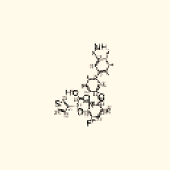 NCc1cccc(-c2cccc(Oc3nc(OC(C(=O)O)c4ccsc4)c(F)cc3F)c2)c1